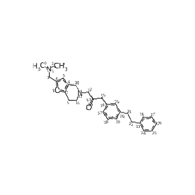 CN(C)Cc1cc2c(o1)CCN(CC(=O)Cc1cccc(CCc3ccccc3)c1)C2